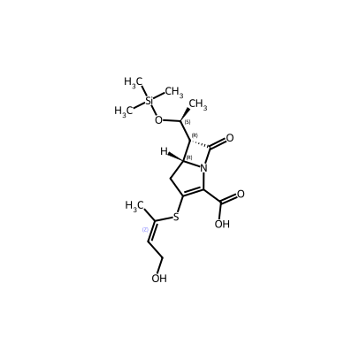 C/C(=C/CO)SC1=C(C(=O)O)N2C(=O)[C@@H]([C@H](C)O[Si](C)(C)C)[C@H]2C1